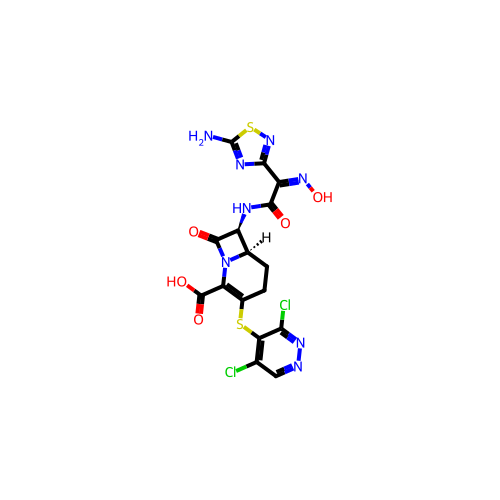 Nc1nc(/C(=N/O)C(=O)N[C@@H]2C(=O)N3C(C(=O)O)=C(Sc4c(Cl)cnnc4Cl)CC[C@H]23)ns1